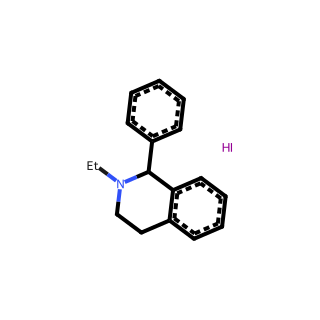 CCN1CCc2ccccc2C1c1ccccc1.I